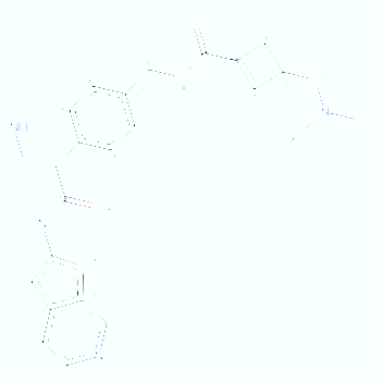 NC[C@@H](C(=O)Nc1cc2ccncc2s1)c1ccc(COC(=O)C2=CC(O[N+](=O)[O-])C2)cc1